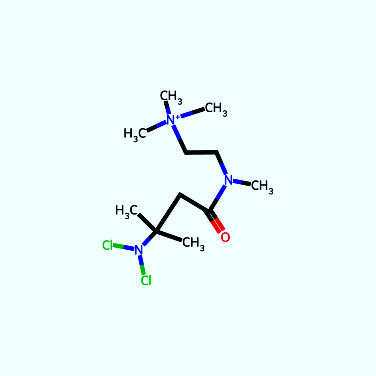 CN(CC[N+](C)(C)C)C(=O)CC(C)(C)N(Cl)Cl